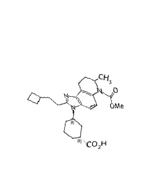 COC(=O)N1c2ccc3c(nc(CCC4CCC4)n3[C@@H]3CCC[C@@H](C(=O)O)C3)c2CCC1C